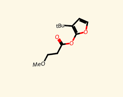 COCCC(=O)Oc1occc1C(C)(C)C